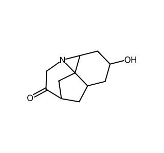 O=C1CN2C3CC(O)CC4CC1CC432